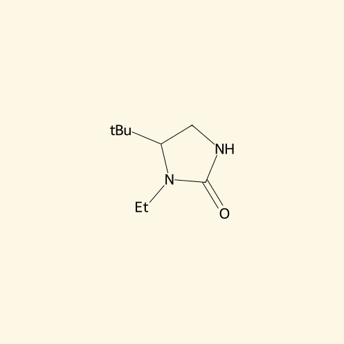 CCN1C(=O)NCC1C(C)(C)C